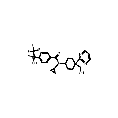 C[C@](O)(c1ccc(C(=O)N(C2CC2)C2CCC(CO)(c3ncccn3)CC2)cc1)C(F)(F)F